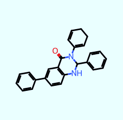 O=C1c2cc(-c3ccccc3)ccc2NC(c2ccccc2)N1C1=CCCC=C1